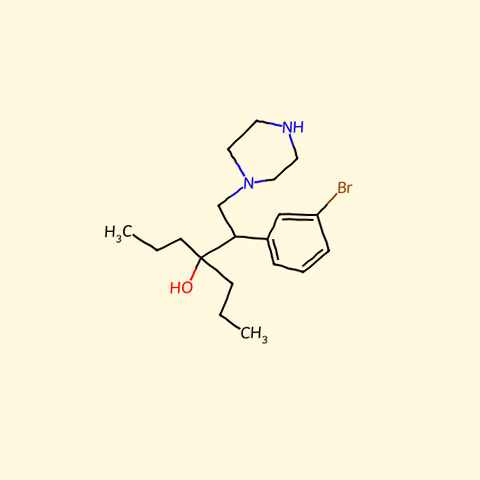 CCCC(O)(CCC)C(CN1CCNCC1)c1cccc(Br)c1